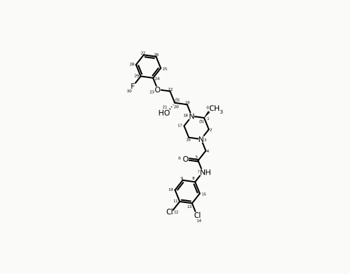 C[C@H]1CN(CC(=O)Nc2ccc(Cl)c(Cl)c2)CCN1C[C@H](O)COc1ccccc1F